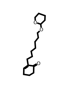 O=C1CCCC=C1CCCCCCCOC1CCCCO1